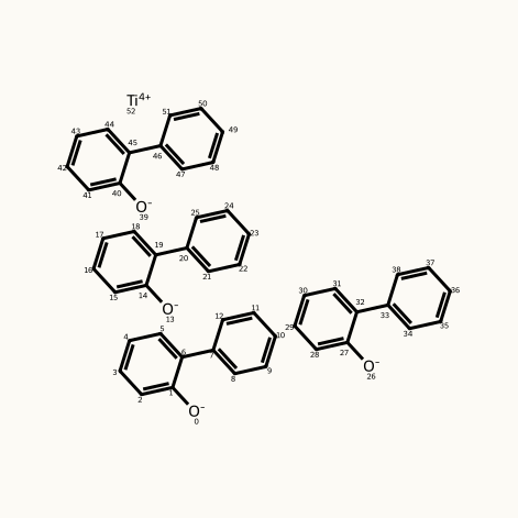 [O-]c1ccccc1-c1ccccc1.[O-]c1ccccc1-c1ccccc1.[O-]c1ccccc1-c1ccccc1.[O-]c1ccccc1-c1ccccc1.[Ti+4]